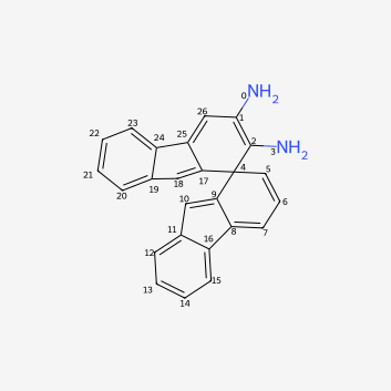 NC1=C(N)C2(C=CC=C3C2=Cc2ccccc23)C2=Cc3ccccc3C2=C1